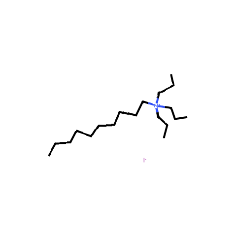 CCCCCCCCCC[N+](CCC)(CCC)CCC.[I-]